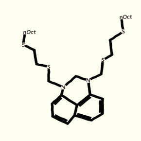 CCCCCCCCSCCSCN1CN(CSCCSCCCCCCCC)c2cccc3cccc1c23